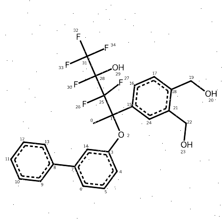 CC(Oc1cccc(-c2ccccc2)c1)(c1ccc(CO)c(CO)c1)C(F)(F)C(O)(F)C(F)(F)F